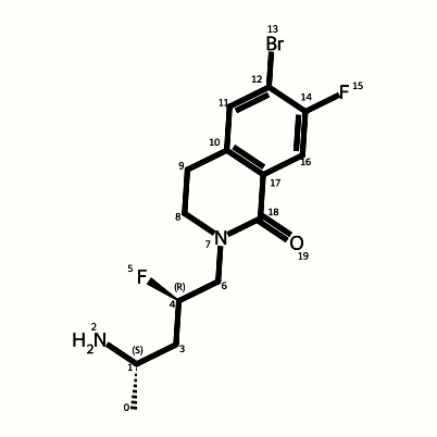 C[C@H](N)C[C@@H](F)CN1CCc2cc(Br)c(F)cc2C1=O